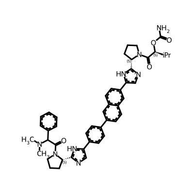 CC(C)[C@H](OC(N)=O)C(=O)N1CCC[C@H]1c1ncc(-c2ccc3cc(-c4ccc(-c5cnc([C@@H]6CCCN6C(=O)C(c6ccccc6)N(C)C)[nH]5)cc4)ccc3c2)[nH]1